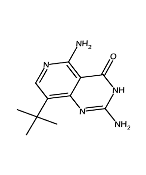 CC(C)(C)c1cnc(N)c2c(=O)[nH]c(N)nc12